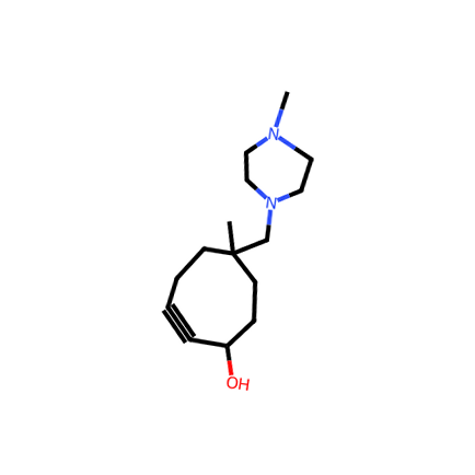 CN1CCN(CC2(C)CCC#CC(O)CC2)CC1